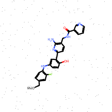 COCc1ccc(Nc2ccc(O)c(-c3ccc(CNC(=O)c4cccnc4)c(N)n3)c2)c(F)c1